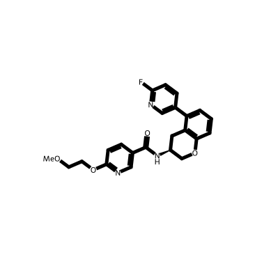 COCCOc1ccc(C(=O)N[C@@H]2COc3cccc(-c4ccc(F)nc4)c3C2)cn1